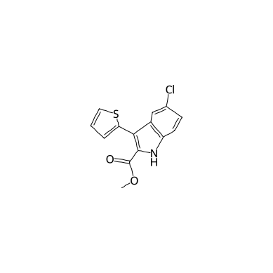 COC(=O)c1[nH]c2ccc(Cl)cc2c1-c1cccs1